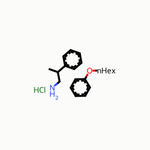 CC(CN)c1ccccc1.CCCCCCOc1ccccc1.Cl